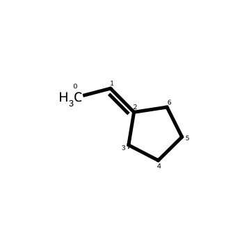 C/C=C1\[CH]CCC1